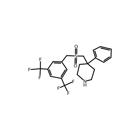 O=S(=O)(Cc1cc(C(F)(F)F)cc(C(F)(F)F)c1)CC1(c2ccccc2)CCNCC1